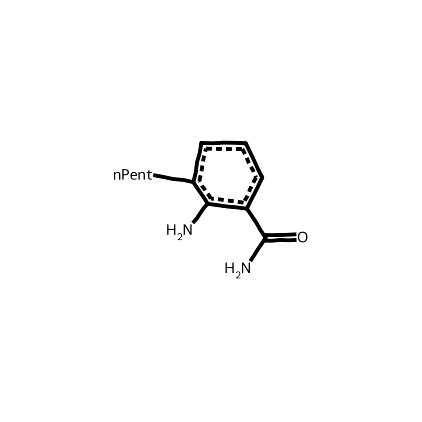 CCCCCc1cccc(C(N)=O)c1N